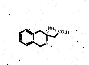 N[C@@]1(CC(=O)O)Cc2ccccc2CN1